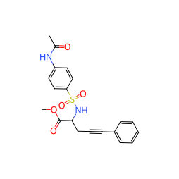 COC(=O)C(CC#Cc1ccccc1)NS(=O)(=O)c1ccc(NC(C)=O)cc1